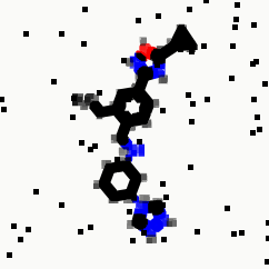 CCc1cc(-c2noc(C3CC3)n2)ccc1CN[C@H]1CCC[C@@H](n2cnnc2)C1